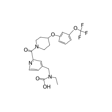 CCN(Cc1ccnc(C(=O)N2CCC(Oc3cccc(OC(F)(F)F)c3)CC2)c1)C(=O)O